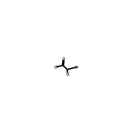 O=C(Cl)C(Cl)Br